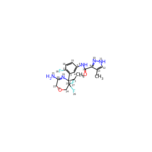 CC[C@]1(c2cc(NC(=O)c3n[nH]cc3C)ccc2F)N=C(N)COCC1(F)F